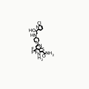 NC(=O)c1sc2nc(N3CCC(NC[C@@H](O)c4cccc(Cl)n4)CC3)cc(C(F)(F)F)c2c1N